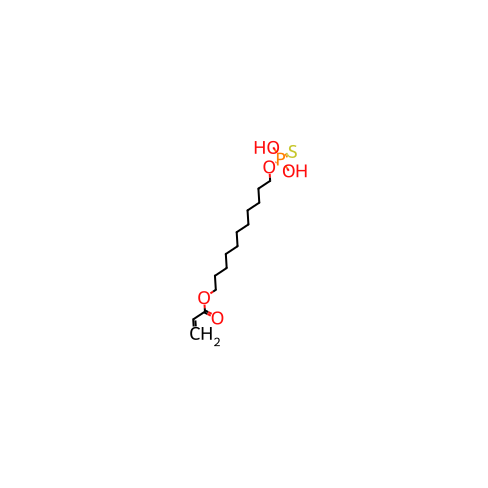 C=CC(=O)OCCCCCCCCCCCOP(O)(O)=S